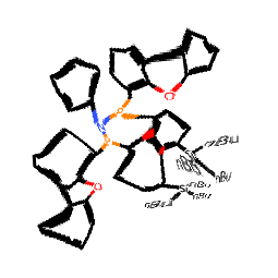 CCCC[Si](CCCC)(CCCC)c1ccc(P(c2cccc3c2oc2ccccc23)N(c2ccccc2)P(c2ccc([Si](CCCC)(CCCC)CCCC)cc2)c2cccc3c2oc2ccccc23)cc1